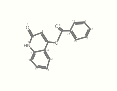 O=C(Oc1cc(=O)[nH]c2ccccc12)c1ccccc1